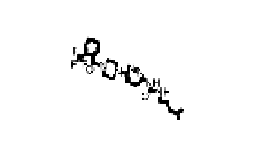 CC(C)CCCNC(=O)Nc1ccc(N2CCN(C(=O)c3ccccc3C(F)(F)F)CC2)nn1